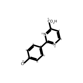 O=C(O)c1ccnc(-c2ccc(Cl)cc2)n1